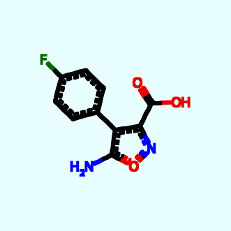 Nc1onc(C(=O)O)c1-c1ccc(F)cc1